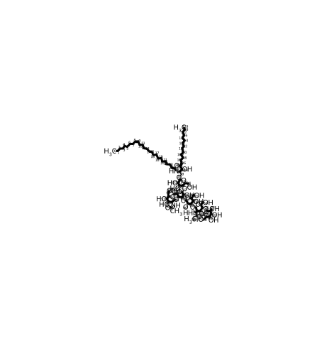 CCCCCCCC/C=C\CCCCCCCCCCCCCCCC(=O)N[C@@H](CO[C@@H]1OC(CO)[C@@H](O[C@@H]2OC(CO)[C@H](O[C@@H]3OC(CO)[C@H](O)[C@H](O)C3NC(C)=O)[C@H](O[C@H]3OC(CO)[C@H](O)[C@H](O[C@@H]4OC(CO)[C@@H](O[C@@H]5OC(CO)[C@H](O)[C@H](O)C5O)[C@H](O)C4NC(C)=O)C3O)C2O)[C@H](O)C1O)[C@H](O)/C=C/CCCCCCCCCCCCC